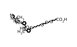 C[C@@H](NC(=O)c1cccc(NCc2nnc(-c3ccncn3)n2C)c1)c1cccc(OCCCCCCOCCOCCOCCCC(=O)O)c1